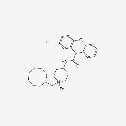 CC[N+]1(CC2CCCCCCC2)CCC(NC(=O)C2c3ccccc3Oc3ccccc32)CC1.[I-]